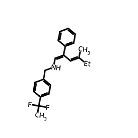 CC/C(C)=C/C(=C\NCc1ccc(C(C)(F)F)cc1)c1ccccc1